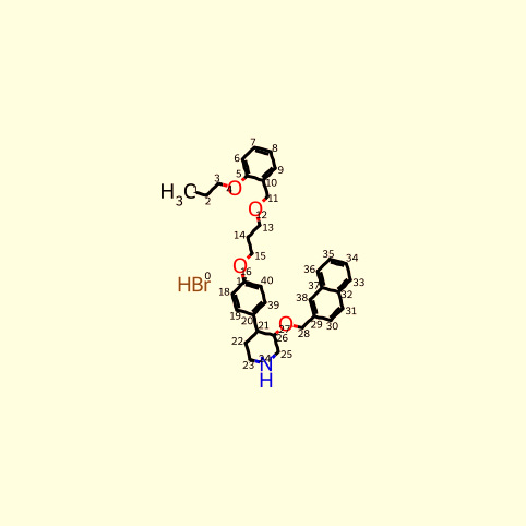 Br.CCCOc1ccccc1COCCCOc1ccc(C2CCNCC2OCc2ccc3ccccc3c2)cc1